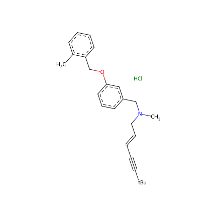 Cc1ccccc1COc1cccc(CN(C)CC=CC#CC(C)(C)C)c1.Cl